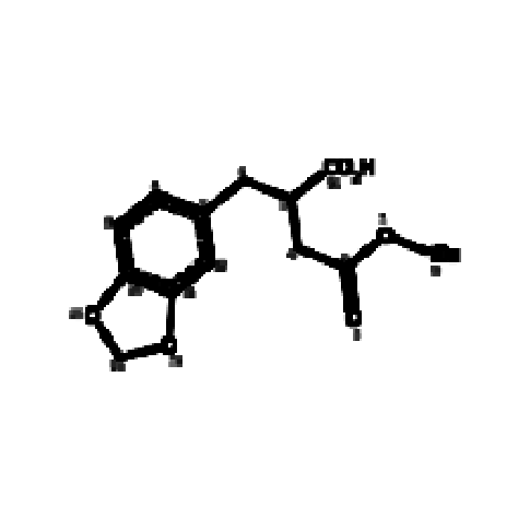 CC(C)(C)OC(=O)CC(Cc1ccc2c(c1)OCO2)C(=O)O